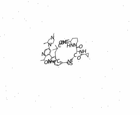 CO[C@@H](C)c1ncc(N2CCN(C)C[C@@H]2C)cc1-c1c2c3cc(ccc3n1C)-c1csc(n1)C[C@H](NC(=O)[C@H]1C[C@@H]1C)C(=O)N1CCC[C@](C=O)(COCC(C)(C)C2)N1